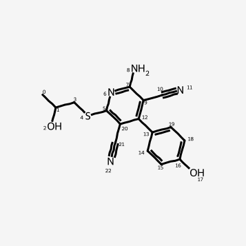 CC(O)CSc1nc(N)c(C#N)c(-c2ccc(O)cc2)c1C#N